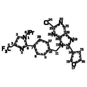 CC(C)n1cc(C(F)(F)F)nc1-c1ccc(Cn2c(-c3ccoc3)nc3cnc(Cl)nc32)cc1